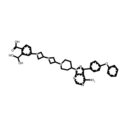 Nc1ncnc2c1c(-c1ccc(Oc3ccccc3)cc1)nn2C1CCN(C2CN(C3CN(c4ccc(C(=O)O)c(C(O)O)c4)C3)C2)CC1